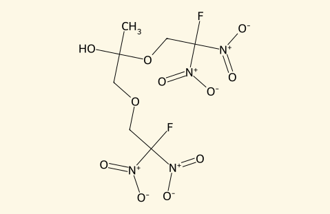 CC(O)(COCC(F)([N+](=O)[O-])[N+](=O)[O-])OCC(F)([N+](=O)[O-])[N+](=O)[O-]